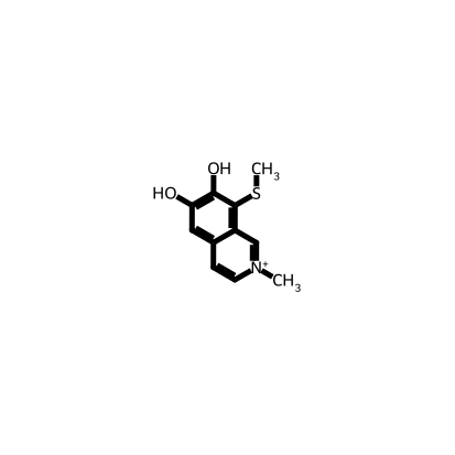 CSc1c(O)c(O)cc2cc[n+](C)cc12